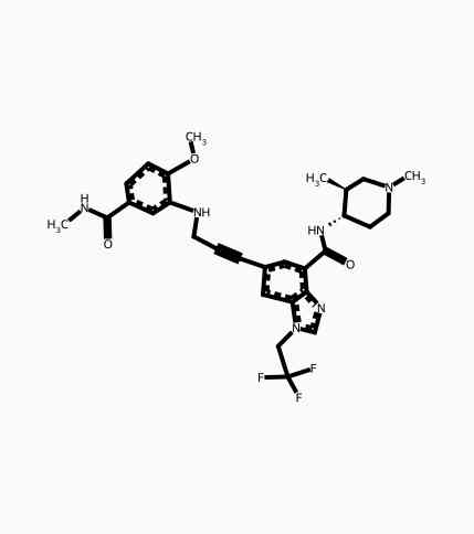 CNC(=O)c1ccc(OC)c(NCC#Cc2cc(C(=O)N[C@H]3CCN(C)C[C@@H]3C)c3ncn(CC(F)(F)F)c3c2)c1